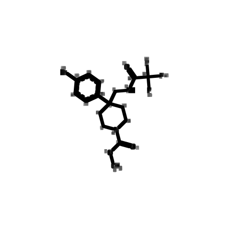 COC(=O)N1CCC(CNC(=O)C(F)(F)F)(c2ccc(Br)cc2)CC1